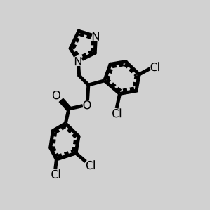 O=C(OC(Cn1ccnc1)c1ccc(Cl)cc1Cl)c1ccc(Cl)c(Cl)c1